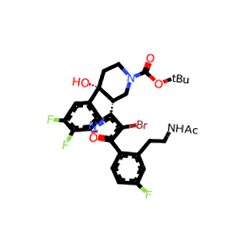 CC(=O)NCCc1cc(F)ccc1-c1onc([C@H]2CN(C(=O)OC(C)(C)C)CC[C@]2(O)c2ccc(F)c(F)c2)c1Br